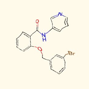 O=C(Nc1cccnc1)c1ccccc1OCc1cccc(Br)c1